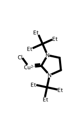 CCC(CC)(CC)N1CCN(C(CC)(CC)CC)[C]1=[Cu-2][Cl]